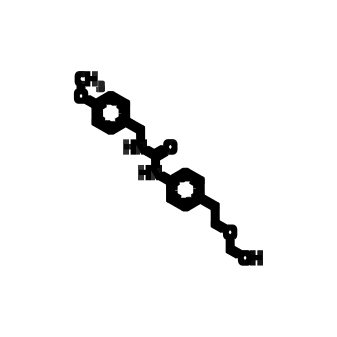 COc1ccc(CNC(=O)Nc2ccc(CCOCO)cc2)cc1